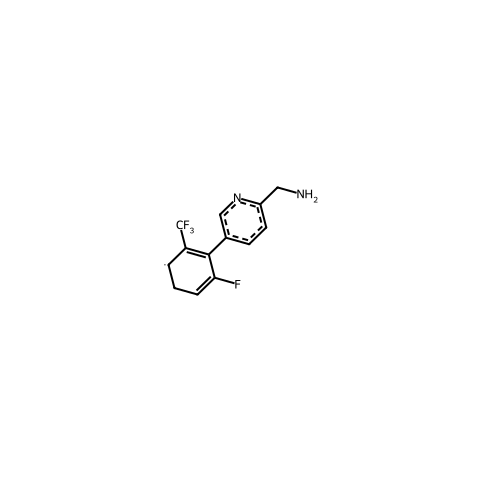 NCc1ccc(C2=C(C(F)(F)F)[CH]CC=C2F)cn1